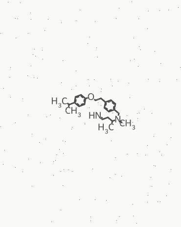 CC(C)c1ccc(OCCc2ccc(CN(C)C(C)CC=N)cc2)cc1